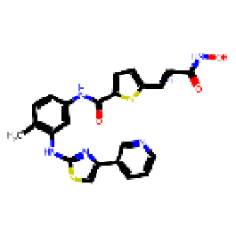 Cc1ccc(NC(=O)c2ccc(/C=C/C(=O)NO)s2)cc1Nc1nc(-c2cccnc2)cs1